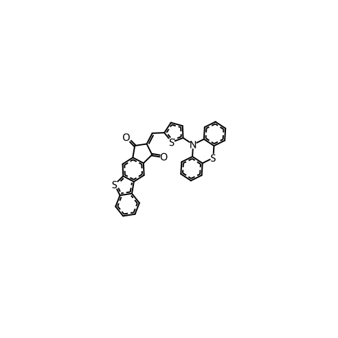 O=C1/C(=C/c2ccc(N3c4ccccc4Sc4ccccc43)s2)C(=O)c2cc3c(cc21)sc1ccccc13